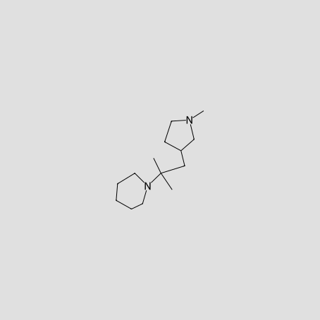 CN1CCC(CC(C)(C)N2CCCCC2)C1